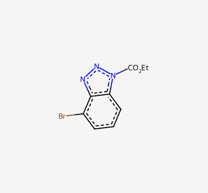 CCOC(=O)n1nnc2c(Br)cccc21